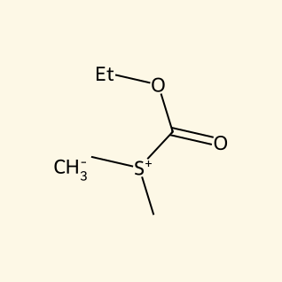 CCOC(=O)[S+](C)C.[CH3-]